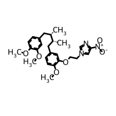 COc1ccc(C[C@H](C)[C@H](C)Cc2ccc(OC)c(OCCn3cnc([N+](=O)[O-])c3)c2)cc1OC